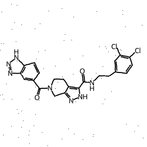 O=C(NCCc1ccc(Cl)c(Cl)c1)c1[nH]nc2c1CCN(C(=O)c1ccc3[nH]nnc3c1)C2